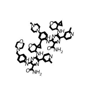 Cc1cc(-c2nc(C(N)=O)c(Nc3ccc(N4CCN(C)CC4)cc3C3CC34COCCC4Nc3nc(Nc4ccc(CN5CCOCC5)cc4)c(C(N)=O)nc3-c3ccnc(C)c3)nc2NC2CCOCC23CC3)ccn1